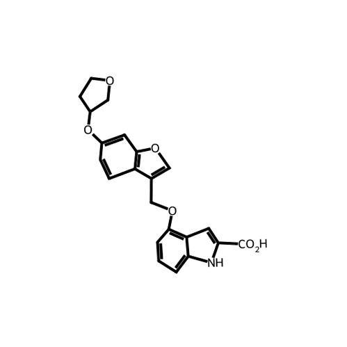 O=C(O)c1cc2c(OCc3coc4cc(OC5CCOC5)ccc34)cccc2[nH]1